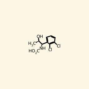 C[C@@H](O)[C@H](NC(=O)O)c1cccc(Cl)c1Cl